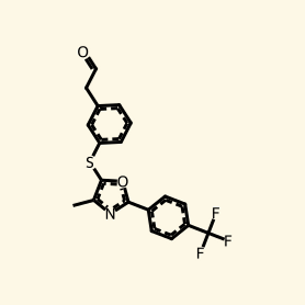 Cc1nc(-c2ccc(C(F)(F)F)cc2)oc1Sc1cccc(CC=O)c1